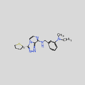 CN(C)c1cccc(CNc2nccn3c([C@@H]4CCCS4)nnc23)c1